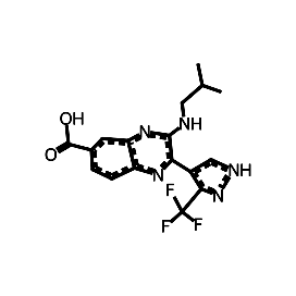 CC(C)CNc1nc2cc(C(=O)O)ccc2nc1-c1c[nH]nc1C(F)(F)F